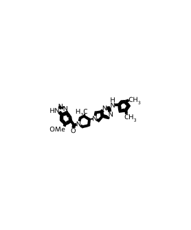 COc1cc2[nH]nnc2cc1C(=O)N1CC[C@H](N2Cc3cnc(Nc4cc(C)cc(C)c4)nc3C2)[C@H](C)C1